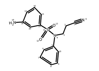 N#CCCN(c1ccccc1)S(=O)(=O)c1cccc(N)c1